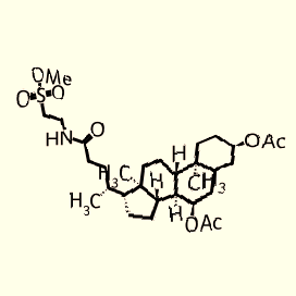 COS(=O)(=O)CCNC(=O)CC[C@@H](C)[C@H]1CC[C@H]2[C@@H]3[C@H](OC(C)=O)CC4C[C@H](OC(C)=O)CC[C@]4(C)[C@H]3CC[C@]12C